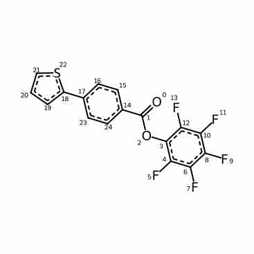 O=C(Oc1c(F)c(F)c(F)c(F)c1F)c1ccc(-c2cccs2)cc1